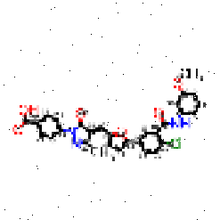 COc1cccc(NC(=O)c2cc(-c3ccc(/C=C4/C(=O)N(c5ccc(C(=O)O)cc5)N=C4C)o3)ccc2Cl)c1